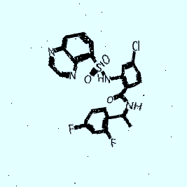 CC(NC(=O)c1ccc(Cl)cc1NS(=O)(=O)c1cccc2nccnc12)c1ccc(F)cc1F